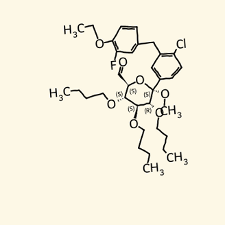 CCCCO[C@H]1[C@H](OCCCC)[C@@H](C=O)O[C@@](OC)(c2ccc(Cl)c(Cc3ccc(OCC)c(F)c3)c2)[C@@H]1OCCCC